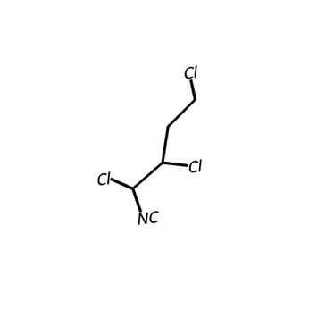 [C-]#[N+]C(Cl)C(Cl)CCCl